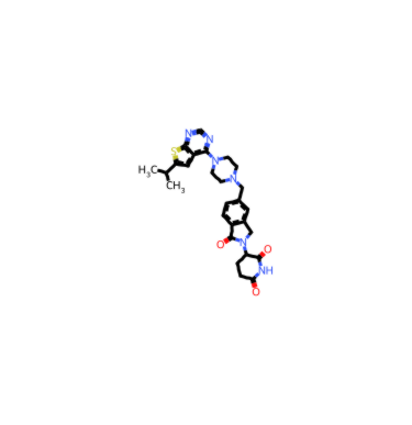 CC(C)c1cc2c(N3CCN(Cc4ccc5c(c4)CN(C4CCC(=O)NC4=O)C5=O)CC3)ncnc2s1